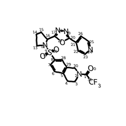 O=C(N1CCc2ccc(S(=O)(=O)N3CCCC3c3nnc(-c4ccncc4)o3)cc2C1)C(F)(F)F